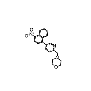 O=[N+]([O-])c1ccc(-c2ccc(CN3CCOCC3)nc2)c2ccccc12